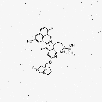 C[C@@H](O)[C@H]1CCc2nc(-c3cc(O)cc4ccc(F)c(F)c34)c(F)c3nc(OC[C@@]45CCCN4C[C@H](F)C5)nc(c23)N1